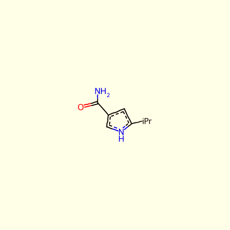 CC(C)c1cc(C(N)=O)c[nH]1